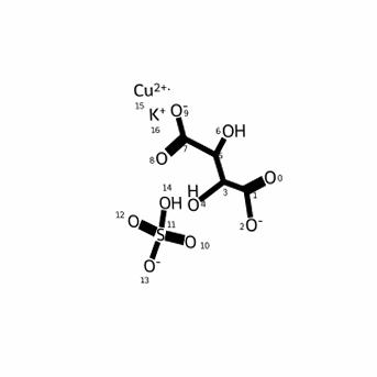 O=C([O-])C(O)C(O)C(=O)[O-].O=S(=O)([O-])O.[Cu+2].[K+]